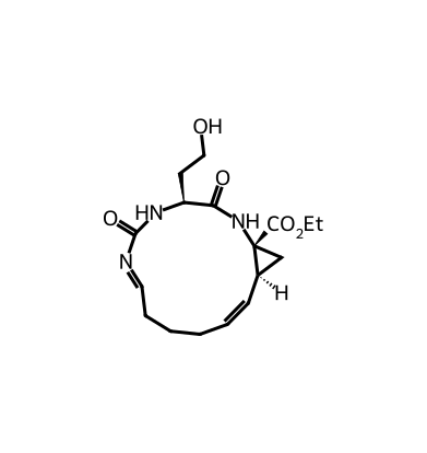 CCOC(=O)[C@@]12C[C@H]1/C=C\CCC/C=N/C(=O)N[C@@H](CCO)C(=O)N2